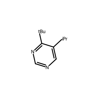 CC(C)c1cncnc1C(C)(C)C